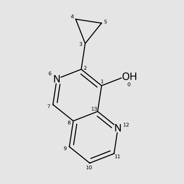 Oc1c(C2CC2)ncc2cccnc12